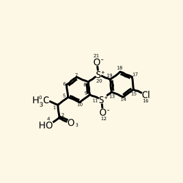 CC(C(=O)O)c1ccc2c(c1)[S+]([O-])c1cc(Cl)ccc1[S+]2[O-]